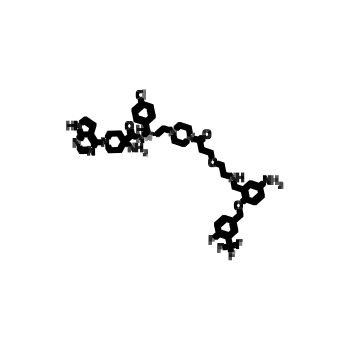 Nc1ccc(OCc2ccc(F)c(C(F)(F)F)c2)c(CNCCOCCC(=O)N2CCN(CC[C@H](NC(=O)C3(N)CCN(c4ncnc5[nH]ccc45)CC3)c3ccc(Cl)cc3)CC2)c1